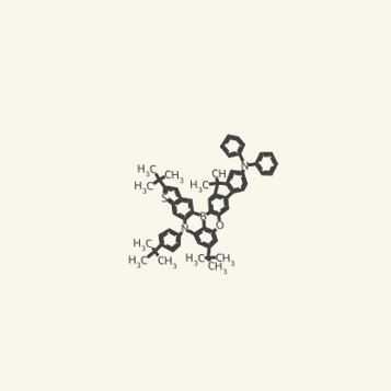 CC(C)(C)c1ccc(N2c3cc4sc(C(C)(C)C)cc4cc3B3c4cc5c(cc4Oc4cc(C(C)(C)C)cc2c43)-c2ccc(N(c3ccccc3)c3ccccc3)cc2C5(C)C)cc1